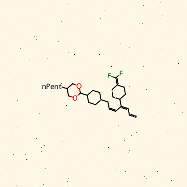 C=C/C=C(\C=C/CC1CCC(C2OCC(CCCCC)CO2)CC1)C1CCC(=C(F)F)CC1